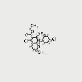 CCOC(=O)c1c(Cl)c2ccc(C)nc2n(-c2ccc(Cl)cc2F)c1=O